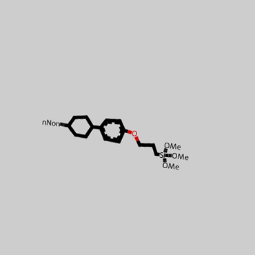 CCCCCCCCCC1CCC(c2ccc(OCCC[Si](OC)(OC)OC)cc2)CC1